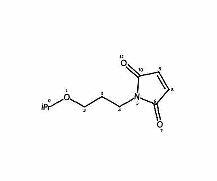 CC(C)OCCCN1C(=O)C=CC1=O